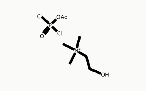 CC(=O)OP(=O)(Cl)Cl.C[N+](C)(C)CCO